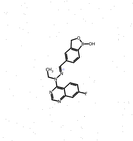 CCN(/N=C/c1ccc2c(c1)COB2O)c1ncnc2cc(F)ccc12